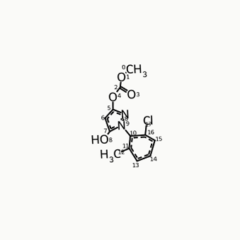 COC(=O)Oc1cc(O)n(-c2c(C)cccc2Cl)n1